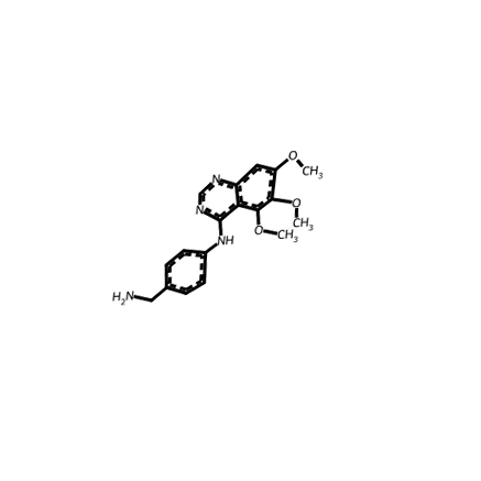 COc1cc2ncnc(Nc3ccc(CN)cc3)c2c(OC)c1OC